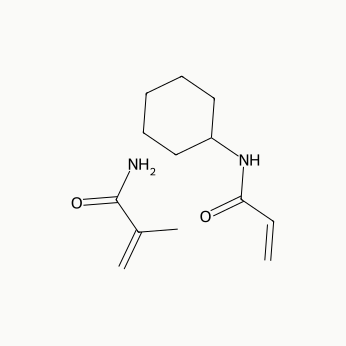 C=C(C)C(N)=O.C=CC(=O)NC1CCCCC1